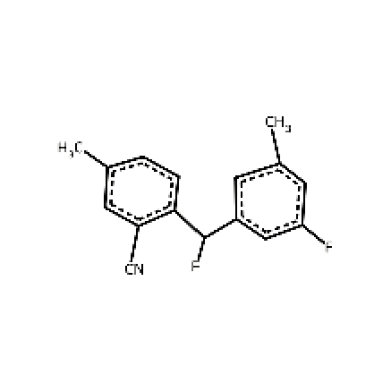 Cc1cc(F)cc(C(F)c2ccc(C)cc2C#N)c1